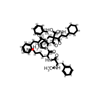 CN[C@@H](Cc1ccccc1)C(=O)N[C@@H](CCCCN)C(=O)N1CCC[C@H]1C(=O)C(C(=O)O)(C(=O)[C@H](N)CC1CCCCC1)[C@@H](Cc1ccccc1)NC(=O)[C@@H](N)Cc1ccccc1